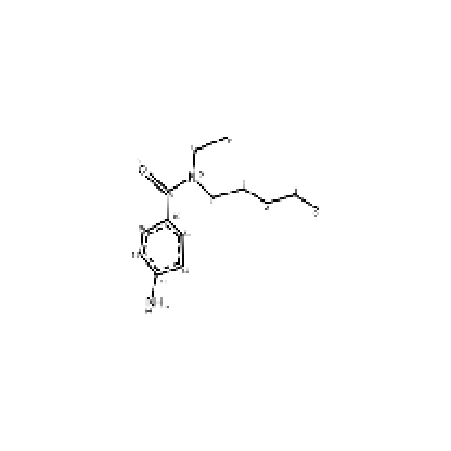 CCCCCN(CC)C(=O)c1ccc(N)cc1